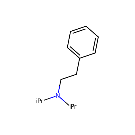 CC(C)N(CCc1ccccc1)C(C)C